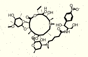 CC[C@H]1OC(=O)[C@H](C)[C@@H](O[C@H]2C[C@@](C)(OC)[C@@H](O)[C@H](C)O2)[C@H](C)[C@@H](O[C@@H]2O[C@H](C)C[C@H](N(C)CCCCC(=O)N[C@H](CO)[C@H](O)c3ccc([N+](=O)[O-])cc3)[C@H]2O)[C@](C)(O)C[C@@H](C)CN(C)[C@H](C)[C@@H](O)[C@]1(C)O